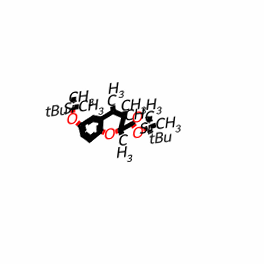 CC1c2cc(O[Si](C)(C)C(C)(C)C)ccc2OC(C)(C(=O)O[Si](C)(C)C(C)(C)C)C1(C)C